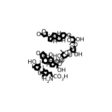 C[C@H]1O[C@@H](O[C@H]2[C@@H](O)C[C@H](O[C@H]3[C@@H](O)C[C@H](O[C@H]4CC[C@@]5(C)[C@H](CC[C@@H]6[C@@H]5CC[C@]5(C)[C@@H](C7=CC(=O)OC7)CC[C@]65O)C4)O[C@@H]3C)O[C@@H]2C)C[C@H](O)[C@@H]1O.C[C@]12C=CC(=O)C=C1CC[C@@H]1[C@@H]2C(=O)C[C@@]2(C)[C@H]1CC[C@]2(O)C(=O)CO.N[C@@H](Cc1cc(I)c(Oc2cc(I)c(O)c(I)c2)c(I)c1)C(=O)O